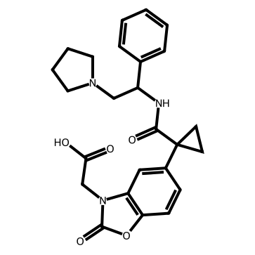 O=C(O)Cn1c(=O)oc2ccc(C3(C(=O)NC(CN4CCCC4)c4ccccc4)CC3)cc21